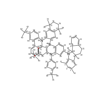 Cc1cc(C)c2c(c1)C1(C)CCc3ccccc3C1(C)N2c1ccc2c(c1)N(c1ccc(C(C)(C)C)cc1)c1cc(C(C)(C)C)cc3c1B2c1cc2c(cc1N3c1ccc(C(C)(C)C)cc1-c1ccccc1)C(C)(C)CCC2(C)C